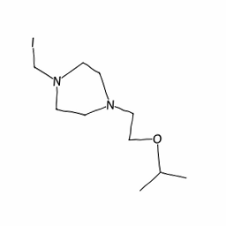 CC(C)OCCN1CCN(CI)CC1